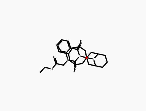 CCOC(=O)Cn1c(=O)n(C2CC3CCCC(C2)N3C2CC(C)CC(CC)CC(C)C2)c(=O)c2ccccc21